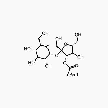 CCCCCC(=O)O[C@H]1[C@H](O)[C@@H](CO)O[C@@]1(CO)O[C@H]1O[C@H](CO)[C@@H](O)[C@H](O)[C@H]1O